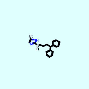 CCc1cnc(BCCCC(c2ccccc2)c2ccccc2)[nH]1